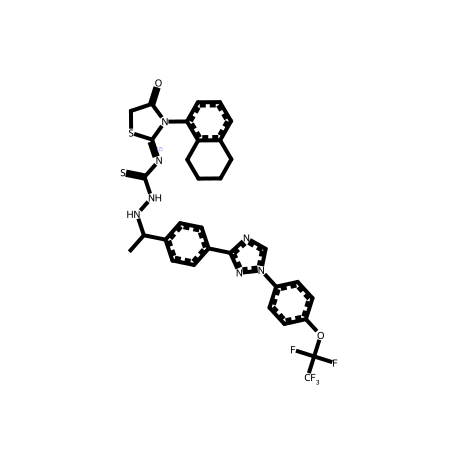 CC(NNC(=S)/N=C1\SCC(=O)N1c1cccc2c1CCCC2)c1ccc(-c2ncn(-c3ccc(OC(F)(F)C(F)(F)F)cc3)n2)cc1